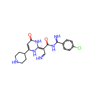 N=C/C(C(=O)NC(=N)c1ccc(Cl)cc1)=C1/NC(=O)C=C(C2CCNCC2)N1